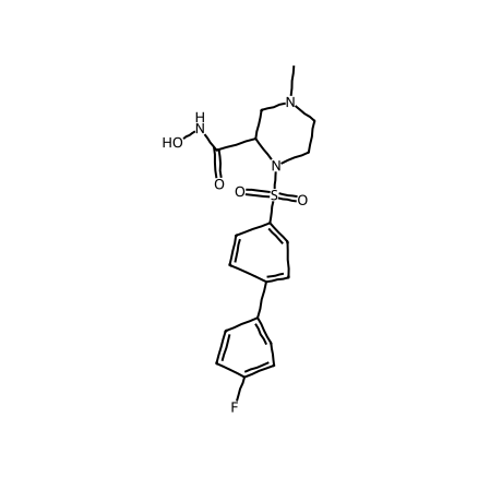 CN1CCN(S(=O)(=O)c2ccc(-c3ccc(F)cc3)cc2)C(C(=O)NO)C1